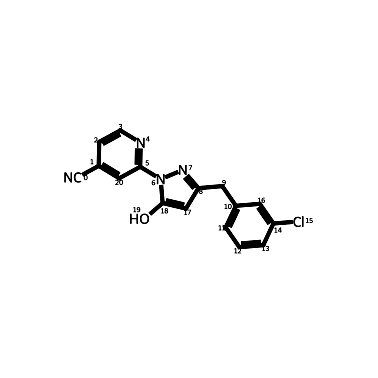 N#Cc1ccnc(-n2nc(Cc3cccc(Cl)c3)cc2O)c1